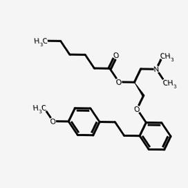 CCCCCC(=O)O[C@H](COc1ccccc1CCc1ccc(OC)cc1)CN(C)C